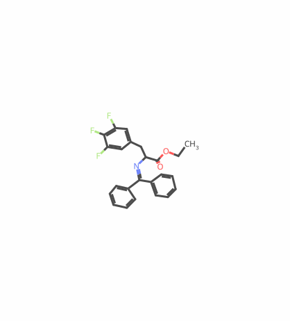 CCOC(=O)C(Cc1cc(F)c(F)c(F)c1)N=C(c1ccccc1)c1ccccc1